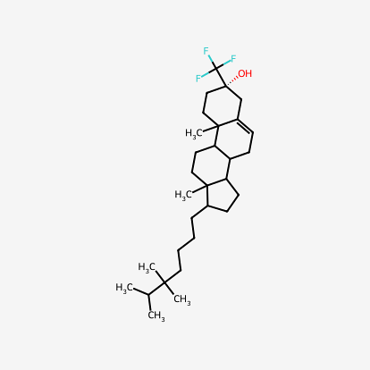 CC(C)C(C)(C)CCCCC1CCC2C3CC=C4C[C@](O)(C(F)(F)F)CCC4(C)C3CCC12C